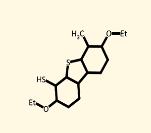 CCOC1CCC2C3CCC(OCC)C(S)C3SC2C1C